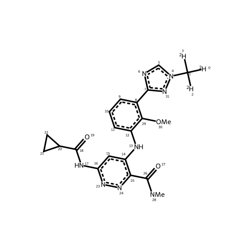 [2H]C([2H])([2H])n1cnc(-c2cccc(Nc3cc(NC(=O)C4CC4)nnc3C(=O)NC)c2OC)n1